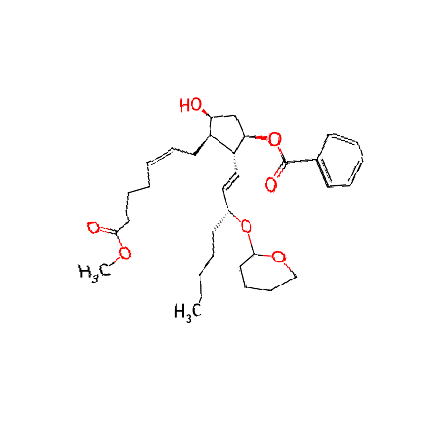 CCCCC[C@H](/C=C/[C@@H]1[C@@H](C/C=C\CCCC(=O)OC)[C@@H](O)C[C@H]1OC(=O)c1ccccc1)OC1CCCCO1